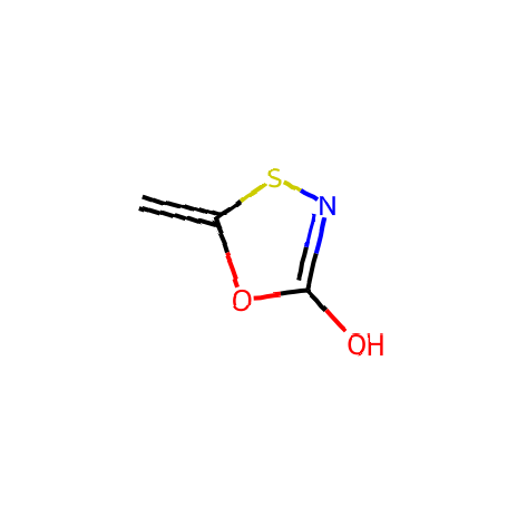 C=C1OC(O)=NS1